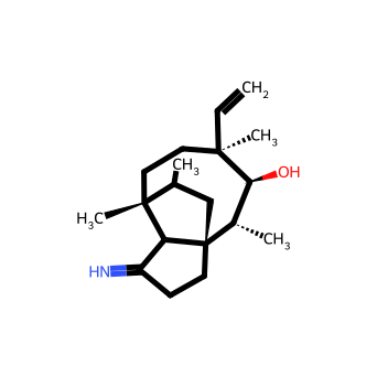 C=C[C@]1(C)CC[C@]2(C)C(C)C[C@]3(CCC(=N)C23)[C@@H](C)[C@@H]1O